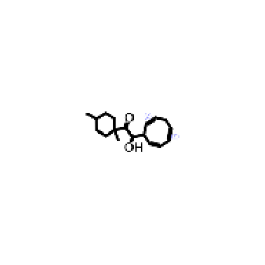 CC1CCC(C)(C(=O)C(O)C2C=C/C=C\C/C=C\2)CC1